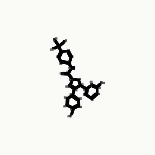 O=C(Nc1ccc(C(F)(F)F)cc1)N1CC(c2cccc(F)n2)C(c2ccc(F)cc2)=N1